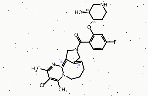 CC1=N/C2=C3\CN(C(=O)c4ccc(F)cc4O[C@H]4CCNC[C@@H]4O)C\C3=C/CCCN2C(C)=C1Cl